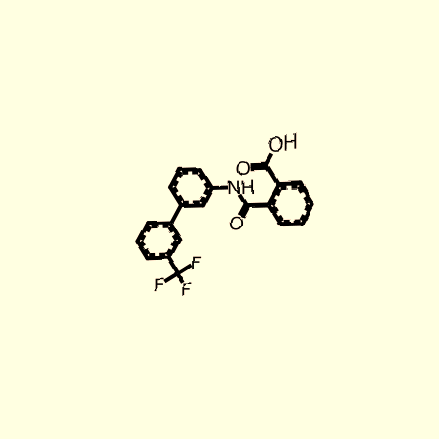 O=C(O)c1ccccc1C(=O)Nc1cccc(-c2cccc(C(F)(F)F)c2)c1